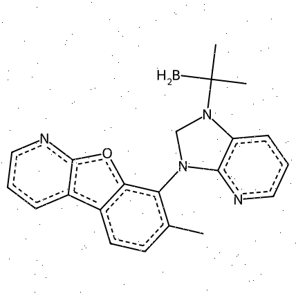 BC(C)(C)N1CN(c2c(C)ccc3c2oc2ncccc23)c2ncccc21